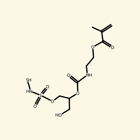 C=C(C)C(=O)OCCNC(=O)OC(CO)COS(=O)(=O)NS